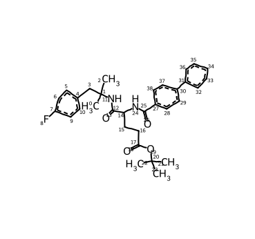 CC(C)(Cc1ccc(F)cc1)NC(=O)C(CCC(=O)OC(C)(C)C)NC(=O)c1ccc(-c2ccccc2)cc1